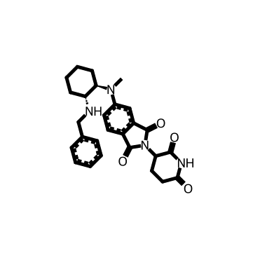 CN(c1ccc2c(c1)C(=O)N(C1CCC(=O)NC1=O)C2=O)[C@@H]1CCCC[C@H]1NCc1ccccc1